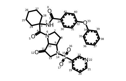 O=C(NC1(C(=O)N2CCC3C2C(=O)CN3S(=O)(=O)c2cccnc2)CCCCC1)c1ccc(Oc2ccccc2)cc1